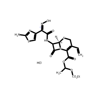 C=CC1=C(C(=O)OC(C)OC(=O)OCC)N2C(=O)C(NC(=O)/C(=N\O)c3csc(N)n3)[C@H]2SC1.Cl